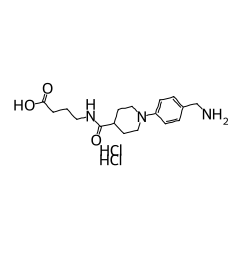 Cl.Cl.NCc1ccc(N2CCC(C(=O)NCCCC(=O)O)CC2)cc1